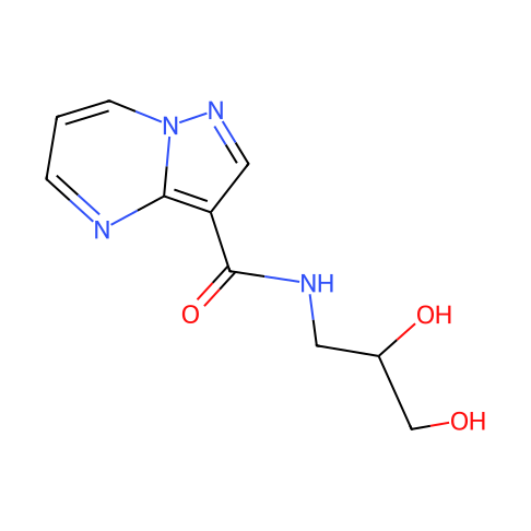 O=C(NCC(O)CO)c1cnn2cccnc12